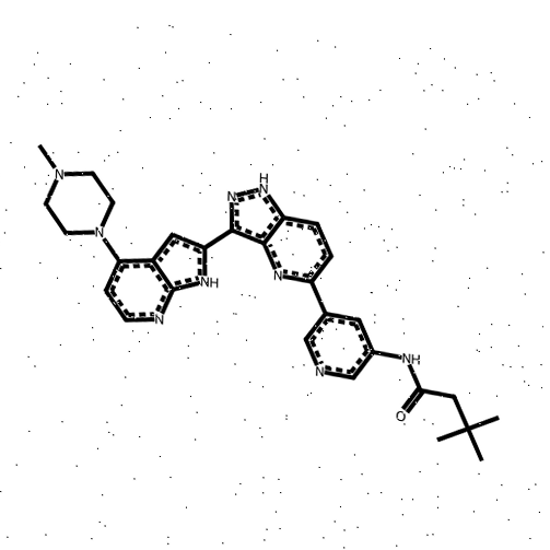 CN1CCN(c2ccnc3[nH]c(-c4n[nH]c5ccc(-c6cncc(NC(=O)CC(C)(C)C)c6)nc45)cc23)CC1